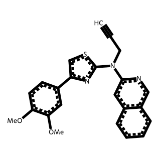 C#CCN(c1cc2ccccc2cn1)c1nc(-c2ccc(OC)c(OC)c2)cs1